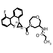 CC[S+]([O-])NC1COCCN(C(=O)[C@@H]2C[C@H]2c2ccccc2C2C(F)=CC=CC2F)C1